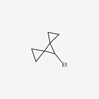 CCC1C2(CC2)C12CC2